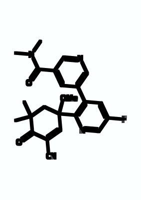 COC1(c2ncc(F)cc2-c2cncc(C(=O)N(C)C)c2)C=C(C#N)C(=O)C(C)(C)C1